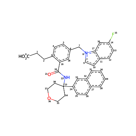 O=C(O)CCc1ccc(Cn2ccc3ccc(F)cc32)cc1C(=O)NC1(c2ccc3ccccc3c2)CCOCC1